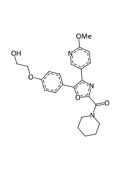 COc1ccc(-c2nc(C(=O)N3CCCCC3)oc2-c2ccc(OCCO)cc2)cn1